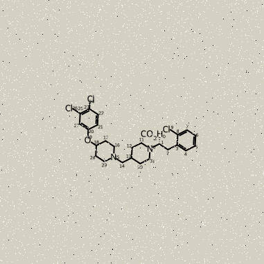 O=C(O)[C@H](Cc1ccccc1Cl)N1CCC(CN2CCC(Oc3ccc(Cl)c(Cl)c3)CC2)CC1